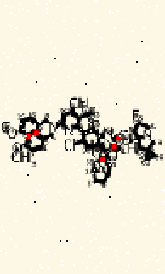 COc1ccc(CN(Cc2ccc(OC)cc2)c2cc(C)c(C(F)(F)F)c(-c3c(Cl)cc4c(N5CC6CCC(C5)N6C(=O)OC(C)(C)C)nc(OC[C@@]56C[C@@H](F)CN5CC5(CC5)C6)nc4c3F)n2)cc1